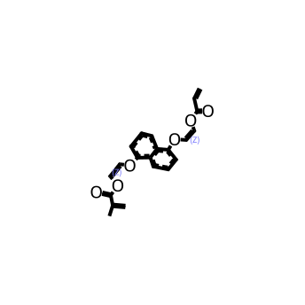 C=CC(=O)O/C=C\Oc1cccc2c(O/C=C\OC(=O)C(=C)C)cccc12